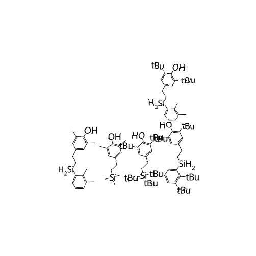 CC(C)(C)c1cc(CC[SiH2]c2cccc(C(C)(C)C)c2C(C)(C)C)cc(C(C)(C)C)c1O.CC(C)(C)c1cc(CC[Si](C(C)(C)C)(C(C)(C)C)C(C)(C)C)cc(C(C)(C)C)c1O.Cc1cc(CC[Si](C)(C)C)cc(C)c1O.Cc1cccc([SiH2]CCc2cc(C(C)(C)C)c(O)c(C(C)(C)C)c2)c1C.Cc1cccc([SiH2]CCc2cc(C)c(O)c(C)c2)c1C